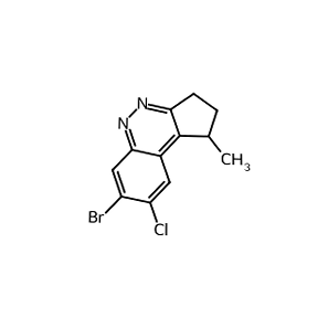 CC1CCc2nnc3cc(Br)c(Cl)cc3c21